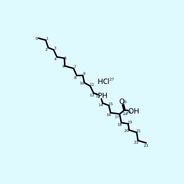 CCCCCCCCCCCCCPCCCC(CCCCCC)C(=O)O.Cl